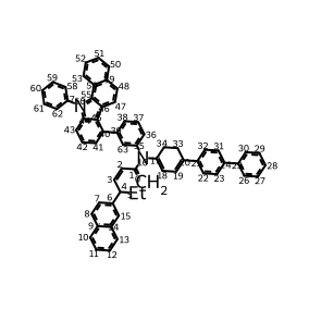 C=C(/C=C\C(CC)c1ccc2ccccc2c1)N(C1=CC=C(c2ccc(-c3ccccc3)cc2)CC1)c1cccc(-c2cccc3c2c2ccc4ccccc4c2n3-c2ccccc2)c1